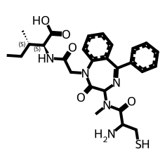 CC[C@H](C)[C@H](NC(=O)CN1C(=O)C(N(C)C(=O)C(N)CS)N=C(c2ccccc2)c2ccccc21)C(=O)O